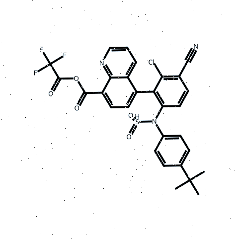 CC(C)(C)c1ccc(N(c2ccc(C#N)c(Cl)c2-c2ccc(C(=O)OC(=O)C(F)(F)F)c3ncccc23)[SH](=O)=O)cc1